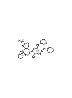 Cc1ccc(C(=N)OC(=N)N[C@H]2N=C(c3ccccc3)c3ccccc3NC2=O)c(N2CC3CCC(C2)O3)n1